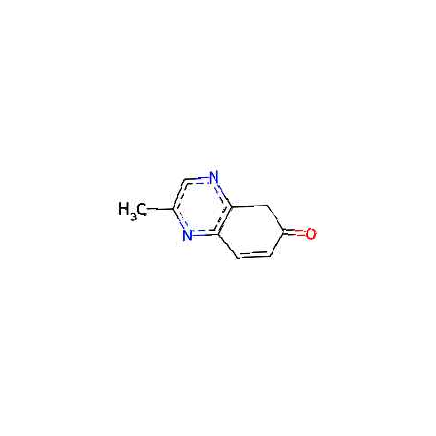 Cc1cnc2c(n1)C=CC(=O)C2